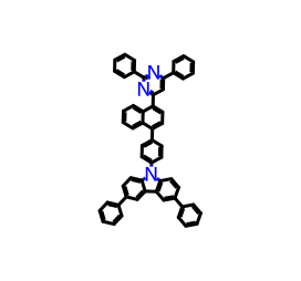 c1ccc(-c2ccc3c(c2)c2cc(-c4ccccc4)ccc2n3-c2ccc(-c3ccc(-c4cc(-c5ccccc5)nc(-c5ccccc5)n4)c4ccccc34)cc2)cc1